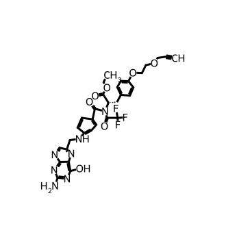 C#CCOCCOc1ccc(C[C@@H](C(=O)OCC)N(C(=O)c2ccc(NCc3cnc4nc(N)nc(O)c4n3)cc2)C(=O)C(F)(F)F)cc1